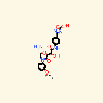 N.O=C(Nc1ccc(-c2noc(O)n2)cc1)C(O)C1OCCN(c2cccc(OC(F)(F)F)c2)C1=O